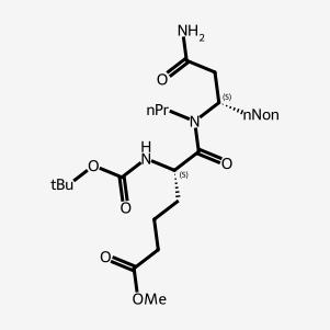 CCCCCCCCC[C@@H](CC(N)=O)N(CCC)C(=O)[C@H](CCCC(=O)OC)NC(=O)OC(C)(C)C